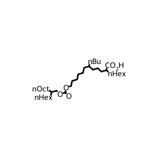 CCCCCCCCC(CCCCCC)COC(=O)OCCCCCCC(CCCC)CCCC(CCCCCC)C(=O)O